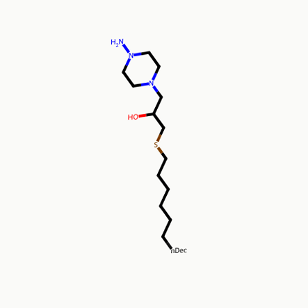 CCCCCCCCCCCCCCCCSCC(O)CN1CCN(N)CC1